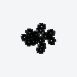 c1ccc(-c2cc(-c3ccc4ccccc4c3)cc(N(c3cc(-c4ccc5ccccc5c4)cc(-c4ccc5c6ccccc6n(-c6ccccc6)c5c4)c3)c3ccccc3-c3ccccc3-n3c4ccccc4c4ccccc43)c2)cc1